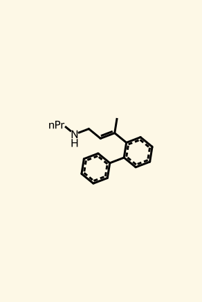 CCCNCC=C(C)c1ccccc1-c1ccccc1